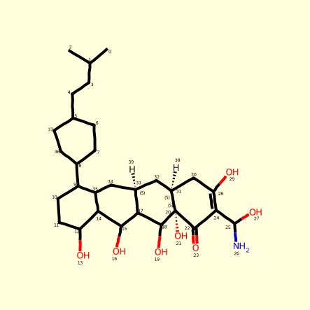 CC(C)CCC1CCC(C2CCC(O)C3C(O)C4C(O)[C@]5(O)C(=O)C(C(N)O)=C(O)C[C@@H]5C[C@@H]4CC23)CC1